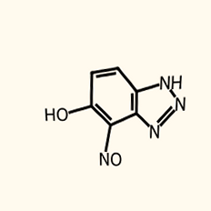 O=Nc1c(O)ccc2[nH]nnc12